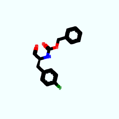 O=C[C@H](Cc1ccc(F)cc1)NC(=O)OCc1ccccc1